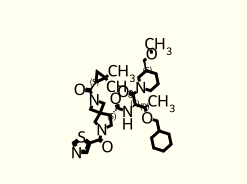 COC[C@H]1CCCN(C(=O)[C@@H](NC(=O)[C@@H]2CN(C(=O)c3cncs3)CC23CN(C(=O)[C@H]2CC2(C)C)C3)[C@@H](C)OCC2CCCCC2)C1